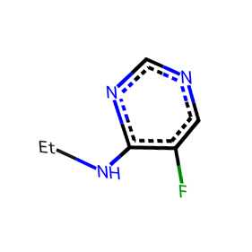 CCNc1ncncc1F